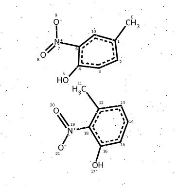 Cc1ccc(O)c([N+](=O)[O-])c1.Cc1cccc(O)c1[N+](=O)[O-]